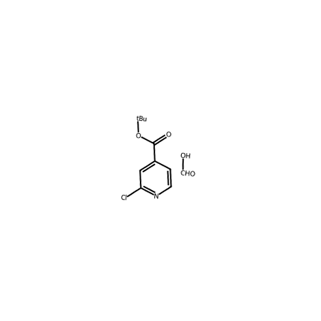 CC(C)(C)OC(=O)c1ccnc(Cl)c1.O=CO